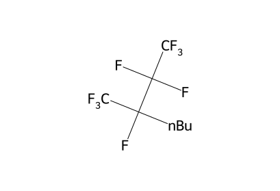 CCCCC(F)(C(F)(F)F)C(F)(F)C(F)(F)F